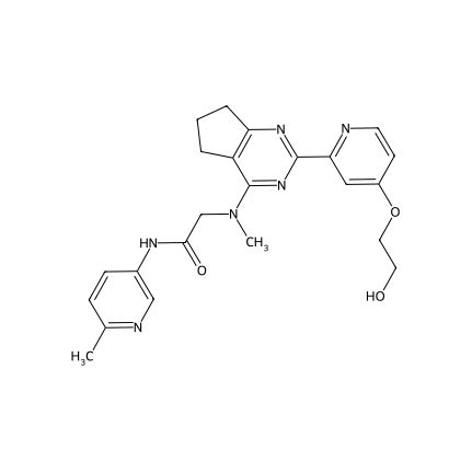 Cc1ccc(NC(=O)CN(C)c2nc(-c3cc(OCCO)ccn3)nc3c2CCC3)cn1